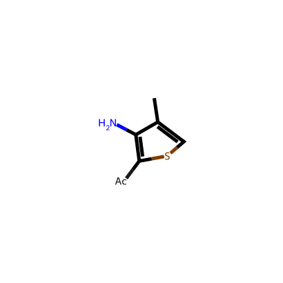 CC(=O)c1scc(C)c1N